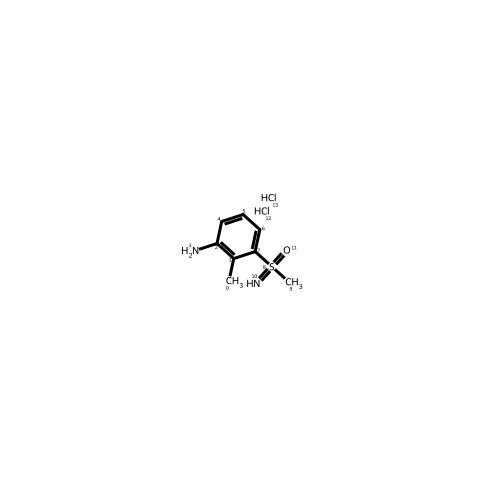 Cc1c(N)cccc1S(C)(=N)=O.Cl.Cl